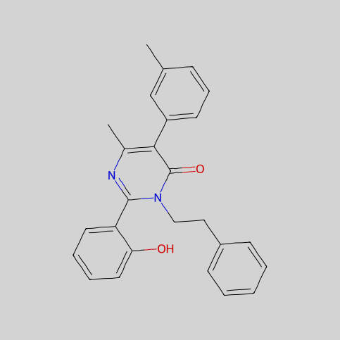 Cc1cccc(-c2c(C)nc(-c3ccccc3O)n(CCc3ccccc3)c2=O)c1